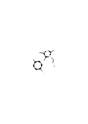 CCOCn1c(C(=O)O)nc(Cl)c1Cl.COc1ccc(N)cc1